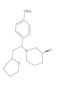 COc1ccc(C(CC2CCCCO2)N2CCC[C@H](Cl)C2)cc1